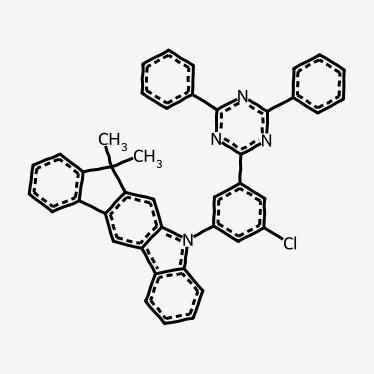 CC1(C)c2ccccc2-c2cc3c4ccccc4n(-c4cc(Cl)cc(-c5nc(-c6ccccc6)nc(-c6ccccc6)n5)c4)c3cc21